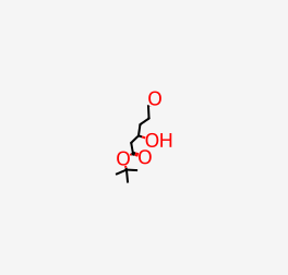 CC(C)(C)OC(=O)CC(O)CCC=O